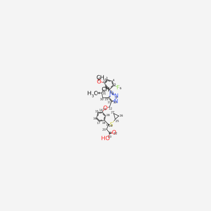 COc1ccc(F)c(-n2nnc(COc3cccc(C(CC(=O)O)SC4CC4)c3)c2CC(C)C)c1